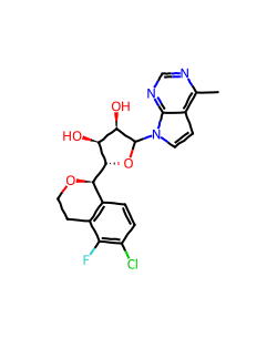 Cc1ncnc2c1ccn2C1O[C@H]([C@@H]2OCCc3c2ccc(Cl)c3F)[C@@H](O)[C@H]1O